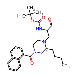 CCCC[C@H]1CN(C(=O)c2cccc3ccccc23)CCN1CC(C=O)NC(=O)OC(C)(C)C